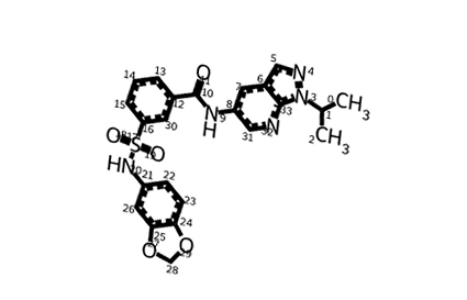 CC(C)n1ncc2cc(NC(=O)c3cccc(S(=O)(=O)Nc4ccc5c(c4)OCO5)c3)cnc21